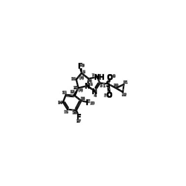 O=S(=O)(C1=NN2C(N1)[C@H](F)C[C@@H]2c1cccc(F)c1F)C1CC1